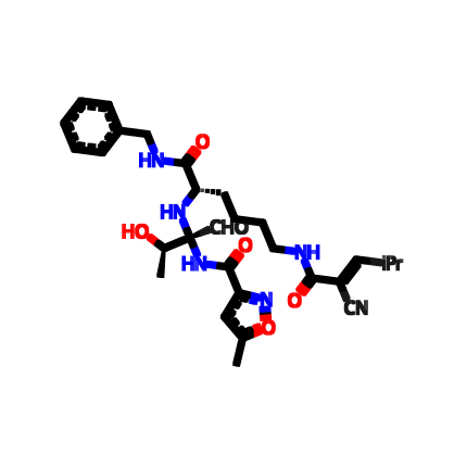 Cc1cc(C(=O)N[C@@](C=O)(N[C@@H](CCCCNC(=O)C(C#N)=CC(C)C)C(=O)NCc2ccccc2)[C@@H](C)O)no1